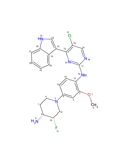 COc1cc(N2CC[C@@H](N)[C@@H](F)C2)ccc1Nc1ncc(Cl)c(-c2c[nH]c3ccccc23)n1